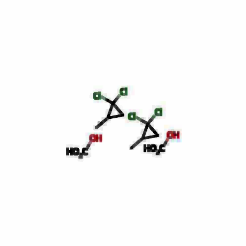 CC1CC1(Cl)Cl.CC1CC1(Cl)Cl.O=C(O)O.O=C(O)O